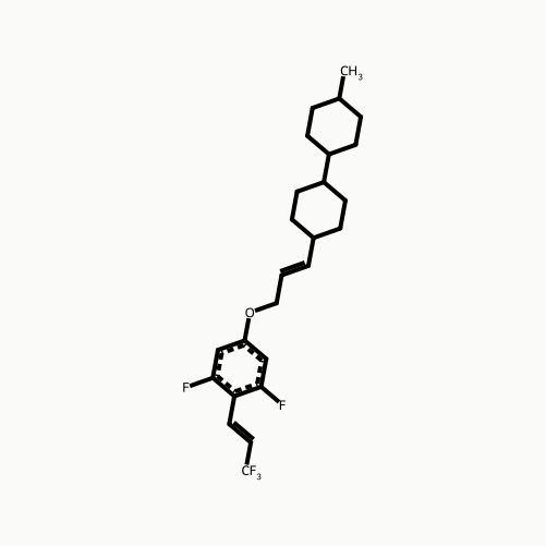 CC1CCC(C2CCC(/C=C/COc3cc(F)c(/C=C/C(F)(F)F)c(F)c3)CC2)CC1